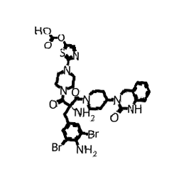 Nc1c(Br)cc(C[C@](N)(C(=O)N2CCC(N3Cc4ccccc4NC3=O)CC2)C(=O)N2CCN(c3ncc(OC(=O)O)s3)CC2)cc1Br